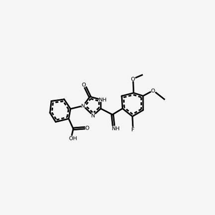 COc1cc(F)c(C(=N)c2nn(-c3ccccc3C(=O)O)c(=O)[nH]2)cc1OC